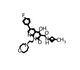 CC12CC(NC(=O)c3c(O)c4cc(-c5ccc(F)cc5)cnc4n(CCN4CCCOCC4)c3=O)(C1)C2